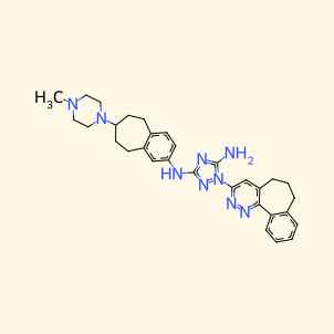 CN1CCN(C2CCc3ccc(Nc4nc(N)n(-c5cc6c(nn5)-c5ccccc5CCC6)n4)cc3CC2)CC1